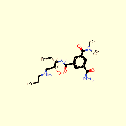 CCCN(CCC)C(=O)c1cc(C(N)=O)cc(C(=O)N[C@@H](CC(C)C)[C@H](O)CNCCC(C)C)c1